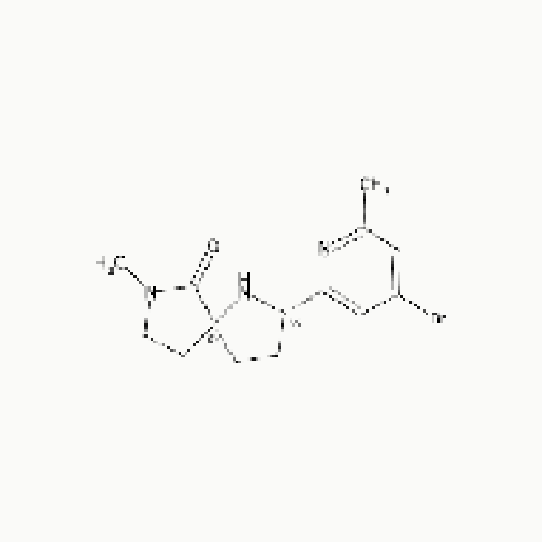 Cc1cc(Br)cc([C@@H]2CC[C@@]3(CCN(C)C3=O)N2)n1